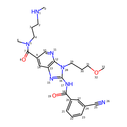 CNCCCN(C)C(=O)c1cnc2c(c1)nc(NC(=O)c1cccc(C#N)c1)n2CCCOC